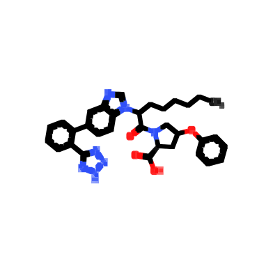 CCCCCCC(C(=O)N1CC(Oc2ccccc2)C[C@H]1C(=O)O)n1cnc2cc(-c3ccccc3-c3nn[nH]n3)ccc21